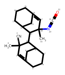 CC1(C#N)C=C2CCCC(C2)C1C1C2CCCC(=CC1(C)N=C=O)C2